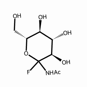 CC(=O)NC1(F)O[C@H](CO)[C@@H](O)[C@H](O)[C@H]1O